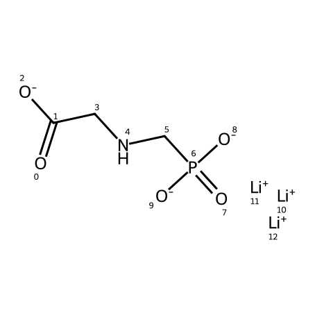 O=C([O-])CNCP(=O)([O-])[O-].[Li+].[Li+].[Li+]